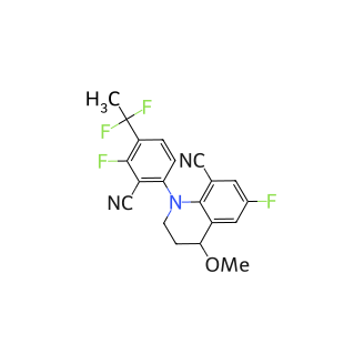 COC1CCN(c2ccc(C(C)(F)F)c(F)c2C#N)c2c(C#N)cc(F)cc21